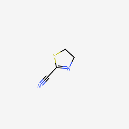 N#CC1=NC[CH]S1